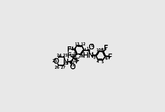 O=C(Nc1ccc(F)c(F)c1)c1ccc(F)c(C(F)(F)C(=O)N2CCOCC2)c1